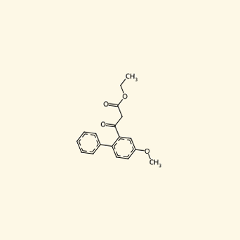 CCOC(=O)CC(=O)c1cc(OC)ccc1-c1ccccc1